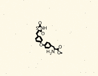 COC(=O)[C@@H](N)Cc1ccc(Oc2ccc(C=C3SC(=O)NC3=O)cc2)cc1